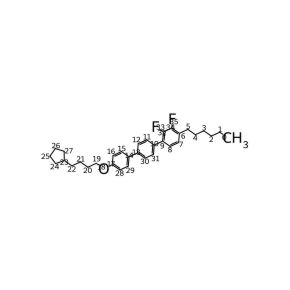 CCCCCCc1ccc(-c2ccc(-c3ccc(OCCCCC4CCCC4)cc3)cc2)c(F)c1F